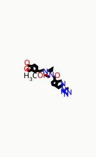 Cc1c([C@@H](O)CN2CCN(C(=O)C3CCc4cc(-n5cnnn5)ncc43)C3CC32)ccc2c1COC2=O